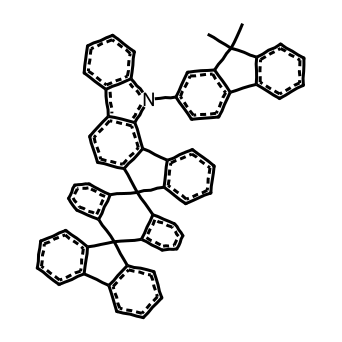 CC1(C)c2ccccc2-c2ccc(-n3c4ccccc4c4ccc5c(c43)-c3ccccc3C53c4ccccc4C4(c5ccccc5-c5ccccc54)c4ccccc43)cc21